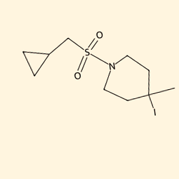 CC1(I)CCN(S(=O)(=O)CC2CC2)CC1